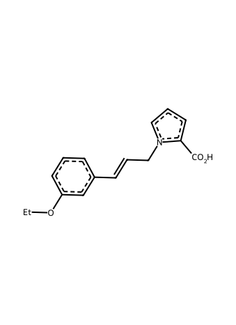 CCOc1cccc(/C=C/Cn2cccc2C(=O)O)c1